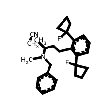 CC#N.CC(CCc1c(C2(F)CCC2)cccc1C1(F)CCC1)N(C)Cc1ccccc1